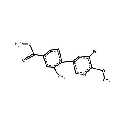 COC(=O)c1ccc(-c2cnc(OC)c(Br)c2)c(C)c1